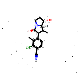 Cc1c(C2C(=O)N3CC[C@H](O)[C@H]3C2C)ccc(C#N)c1Cl